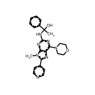 Cn1c(-c2ccncc2)nc2c(N3CCOCC3)nc(NC(C)(O)c3ccccc3)nc21